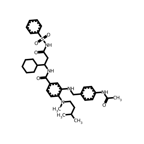 CC(=O)Nc1ccc(CNc2cc(C(=O)NC(CC(=O)NS(=O)(=O)c3ccccc3)C3CCCCC3)ccc2N(C)CCC(C)C)cc1